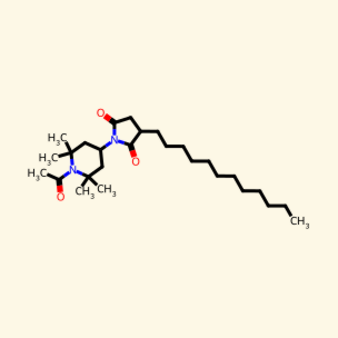 CCCCCCCCCCCCC1CC(=O)N(C2CC(C)(C)N(C(C)=O)C(C)(C)C2)C1=O